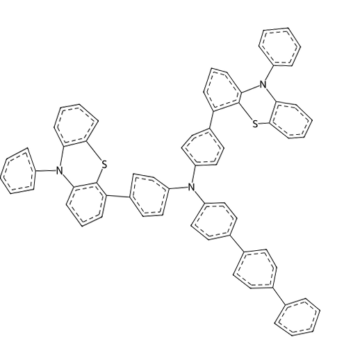 c1ccc(-c2ccc(-c3ccc(N(c4ccc(-c5cccc6c5Sc5ccccc5N6c5ccccc5)cc4)c4ccc(-c5cccc6c5Sc5ccccc5N6c5ccccc5)cc4)cc3)cc2)cc1